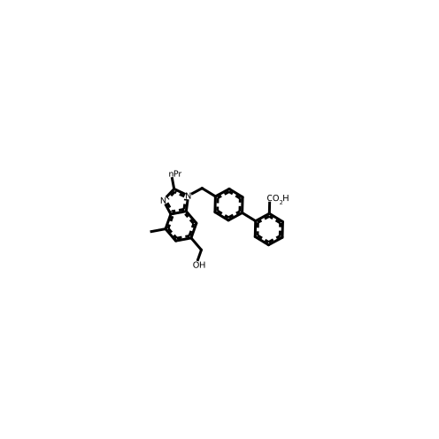 CCCc1nc2c(C)cc(CO)cc2n1Cc1ccc(-c2ccccc2C(=O)O)cc1